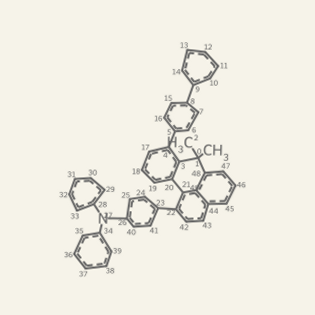 CC1(C)c2c(-c3ccc(-c4ccccc4)cc3)cccc2-c2c(-c3ccc(N(c4ccccc4)c4ccccc4)cc3)ccc3cccc1c23